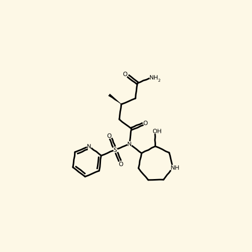 C[C@@H](CC(N)=O)CC(=O)N(C1CCCNCC1O)S(=O)(=O)c1ccccn1